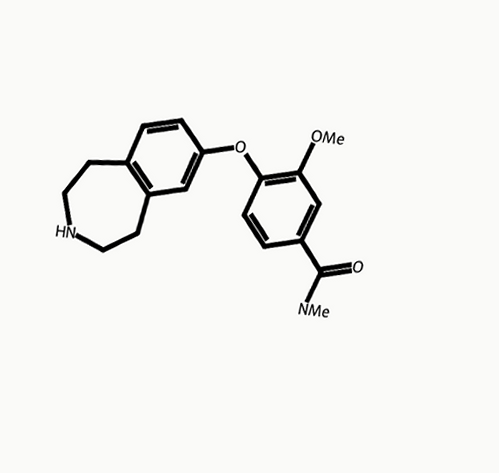 CNC(=O)c1ccc(Oc2ccc3c(c2)CCNCC3)c(OC)c1